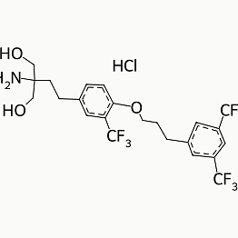 Cl.NC(CO)(CO)CCc1ccc(OCCCc2cc(C(F)(F)F)cc(C(F)(F)F)c2)c(C(F)(F)F)c1